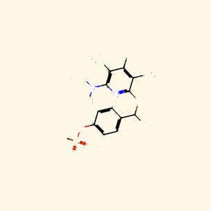 CCc1c(C#N)c(SC(C(C)=O)c2ccc(OS(C)(=O)=O)cc2)nc(N(C)C)c1C#N